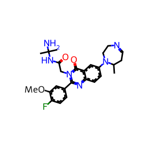 COc1cc(-c2nc3ccc(N4CCN=CCC4C)cc3c(=O)n2CC(=O)NC(C)(C)N)ccc1F